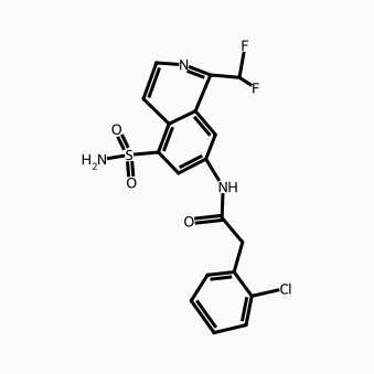 NS(=O)(=O)c1cc(NC(=O)Cc2ccccc2Cl)cc2c(C(F)F)nccc12